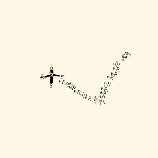 O.O.O.O.O.O.O.O.O.O.O.O.O.O.O.O.O=S(=O)(O)O.[AlH3].[NaH]